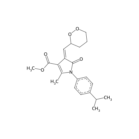 COC(=O)C1=C(C)N(c2ccc(C(C)C)cc2)C(=O)/C1=C\C1CCCOO1